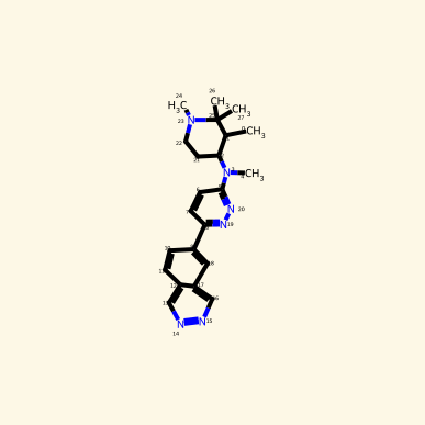 CC1C(N(C)c2ccc(-c3ccc4cnncc4c3)nn2)CCN(C)C1(C)C